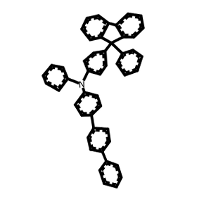 c1ccc(-c2ccc(-c3ccc(N(c4ccccc4)c4ccc(C5(c6ccccc6)c6ccccc6-c6ccccc65)cc4)cc3)cc2)cc1